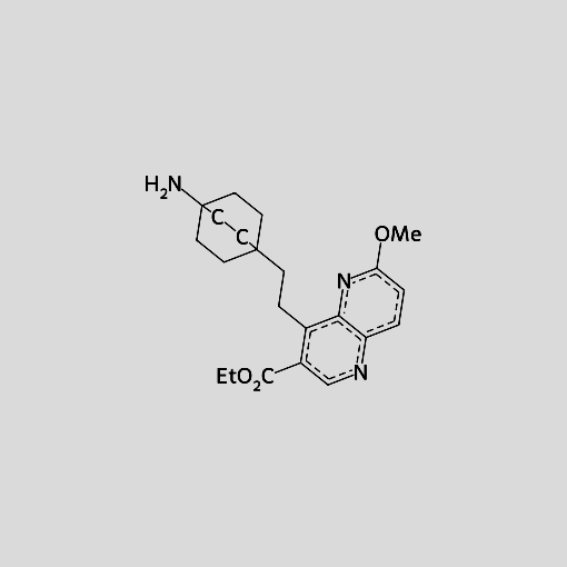 CCOC(=O)c1cnc2ccc(OC)nc2c1CCC12CCC(N)(CC1)CC2